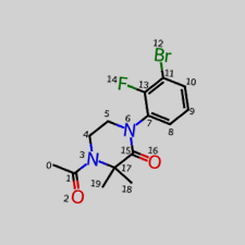 CC(=O)N1CCN(c2cccc(Br)c2F)C(=O)C1(C)C